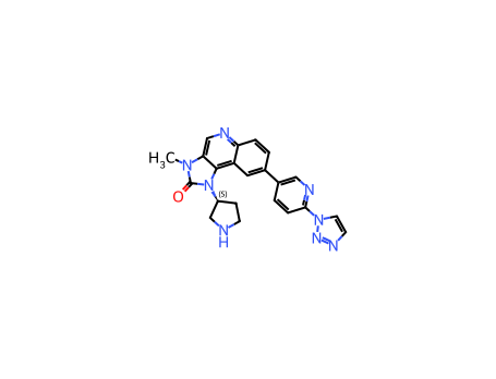 Cn1c(=O)n([C@H]2CCNC2)c2c3cc(-c4ccc(-n5ccnn5)nc4)ccc3ncc21